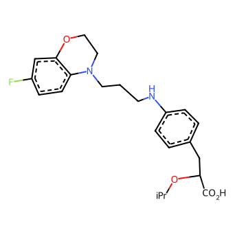 CC(C)OC(Cc1ccc(NCCCN2CCOc3cc(F)ccc32)cc1)C(=O)O